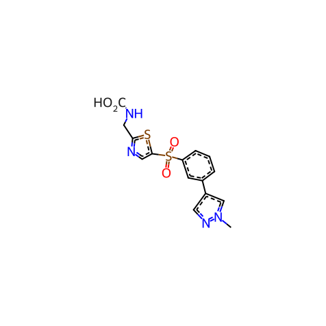 Cn1cc(-c2cccc(S(=O)(=O)c3cnc(CNC(=O)O)s3)c2)cn1